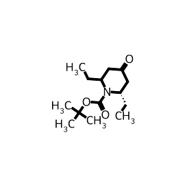 CCC1CC(=O)C[C@H](CC)N1C(=O)OC(C)(C)C